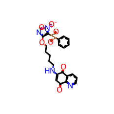 O=C1C(NCCCCCOc2no[n+]([O-])c2S(=O)(=O)c2ccccc2)=CC(=O)c2ncccc21